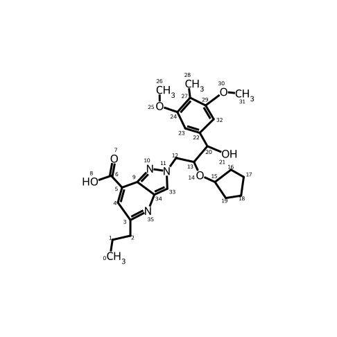 CCCc1cc(C(=O)O)c2nn(CC(OC3CCCC3)C(O)c3cc(OC)c(C)c(OC)c3)cc2n1